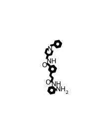 Nc1ccccc1NC(=O)CCc1cccc(C(=O)NCC2CCN(Cc3ccccc3)CC2)c1